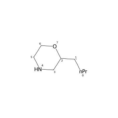 CCC[CH]C1CNCCO1